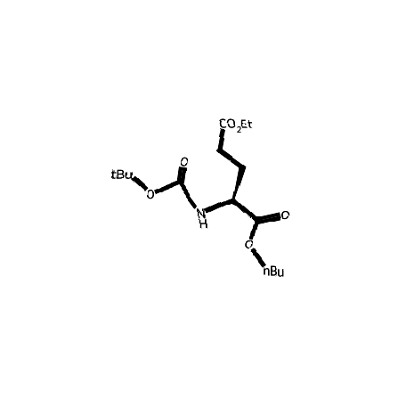 CCCCOC(=O)[C@H](CCC(=O)OCC)NC(=O)OC(C)(C)C